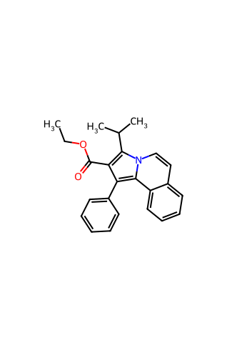 CCOC(=O)c1c(-c2ccccc2)c2c3ccccc3ccn2c1C(C)C